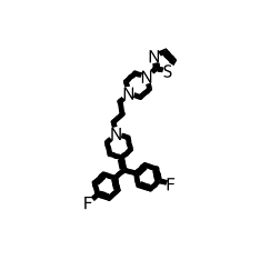 Fc1ccc(C(=C2CCN(CCCN3CCN(c4nccs4)CC3)CC2)c2ccc(F)cc2)cc1